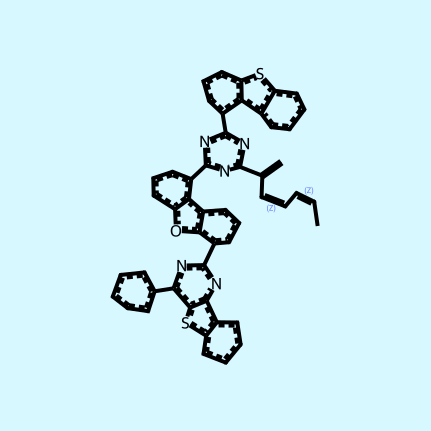 C=C(/C=C\C=C/C)c1nc(-c2cccc3oc4c(-c5nc(-c6ccccc6)c6sc7ccccc7c6n5)cccc4c23)nc(-c2cccc3sc4ccccc4c23)n1